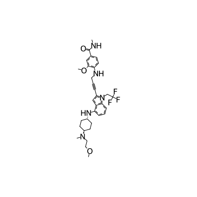 CNC(=O)c1ccc(NCC#Cc2cc3c(N[C@H]4CC[C@H](N(C)CCOC)CC4)cccc3n2CC(F)(F)F)c(OC)c1